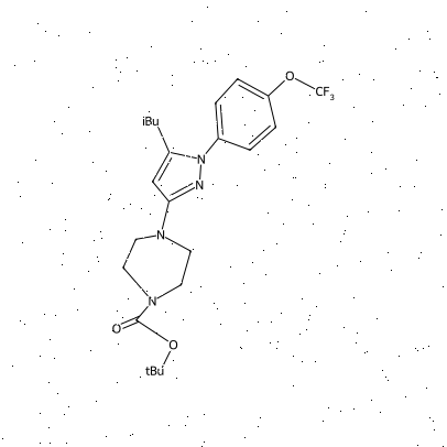 CCC(C)c1cc(N2CCN(C(=O)OC(C)(C)C)CC2)nn1-c1ccc(OC(F)(F)F)cc1